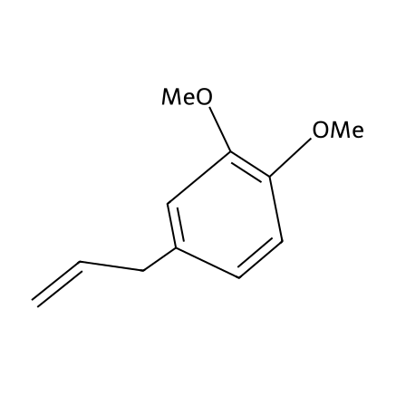 [CH2]Oc1ccc(CC=C)cc1OC